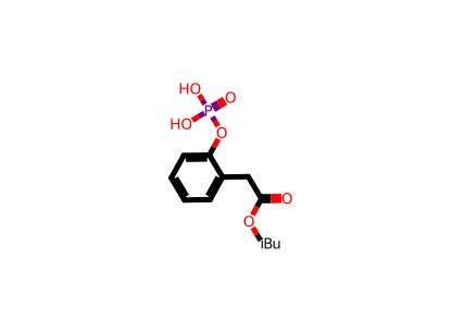 CCC(C)OC(=O)Cc1ccccc1OP(=O)(O)O